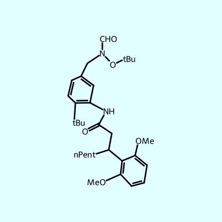 CCCCCC(CC(=O)Nc1cc(CN(C=O)OC(C)(C)C)ccc1C(C)(C)C)c1c(OC)cccc1OC